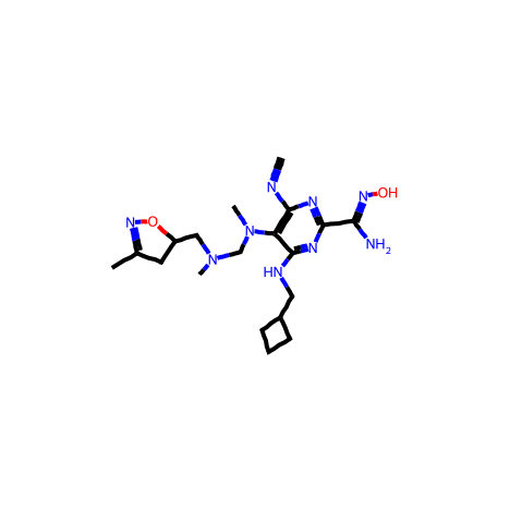 C=Nc1nc(/C(N)=N/O)nc(NCC2CCC2)c1N(C)CN(C)CC1CC(C)=NO1